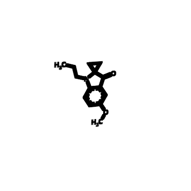 CCCN1c2ccc(OC)cc2C(=O)C12CC2